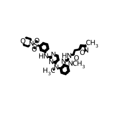 Cc1cc(CC(=O)Nc2nc3c(N(C)c4ccnc(Nc5cccc(S(=O)(=O)N6CCOCC6)c5)n4)cccc3n2C)on1